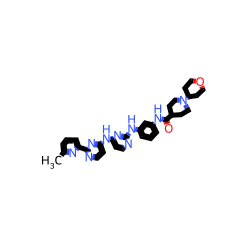 Cc1cccc(-c2nccc(Nc3ccnc(Nc4cccc(NC(=O)C5CCN(C6CCOCC6)CC5)c4)n3)n2)n1